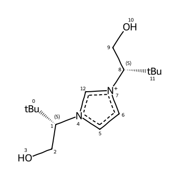 CC(C)(C)[C@@H](CO)n1cc[n+]([C@H](CO)C(C)(C)C)c1